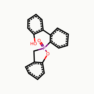 O=P1(c2ccccc2-c2ccccc2O)Cc2ccccc2O1